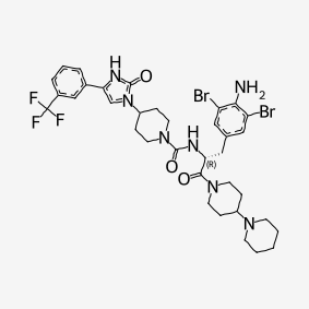 Nc1c(Br)cc(C[C@@H](NC(=O)N2CCC(n3cc(-c4cccc(C(F)(F)F)c4)[nH]c3=O)CC2)C(=O)N2CCC(N3CCCCC3)CC2)cc1Br